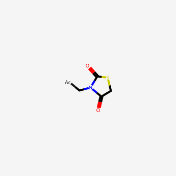 CC(=O)CN1C(=O)CSC1=O